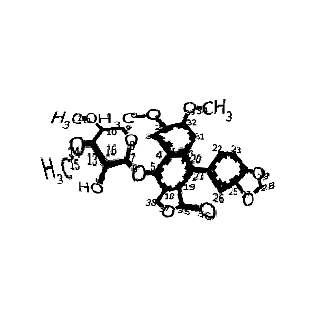 COc1cc2c(OC3OCC(OC)C(OC)C3O)c3c(c(-c4ccc5c(c4)OCO5)c2cc1OC)C(=O)OC3